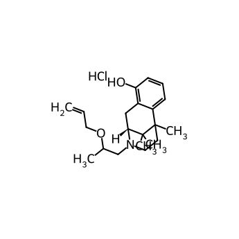 C=CCOC(C)CN1CCC2(C)c3cccc(O)c3C[C@@H]1C2(C)C.Cl